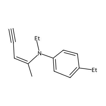 C#C/C=C(/C)N(CC)c1ccc(CC)cc1